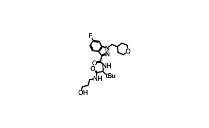 CC(C)(C)C(NC(=O)c1nn(CC2CCOCC2)c2cc(F)ccc12)C(=O)NCCCO